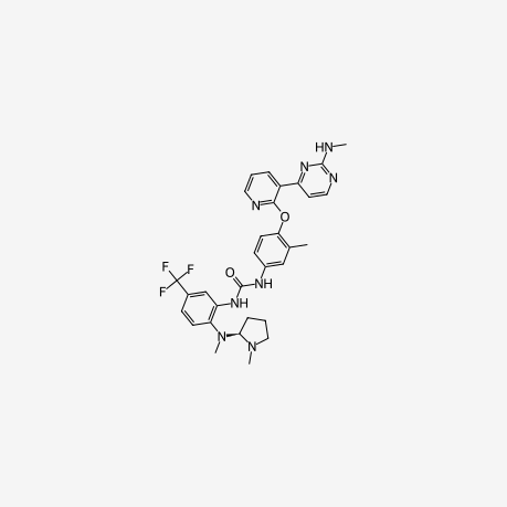 CNc1nccc(-c2cccnc2Oc2ccc(NC(=O)Nc3cc(C(F)(F)F)ccc3N(C)[C@H]3CCCN3C)cc2C)n1